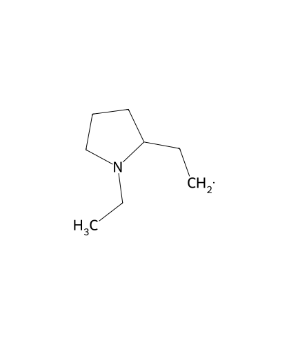 [CH2]CC1CCCN1CC